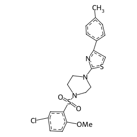 COc1ccc(Cl)cc1S(=O)(=O)N1CCN(c2nc(-c3ccc(C)cc3)cs2)CC1